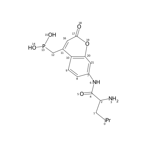 CC(C)CC(N)C(=O)Nc1ccc2c(CP(O)O)cc(=O)oc2c1